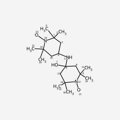 CC1(C)CC(NC2(O)CC(C)(C)N([O])C(C)(C)C2)CC(C)(C)N1[O]